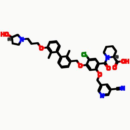 Cc1c(COc2cc(OCc3cncc(C#N)c3)c(C(=O)N3CCCC[C@H]3C(=O)O)cc2Cl)cccc1-c1cccc(OCCCN2CC[C@@H](O)C2)c1C